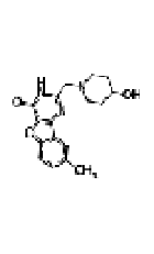 Cc1ccc2oc3c(=O)[nH]c(CN4CCC(O)CC4)nc3c2c1